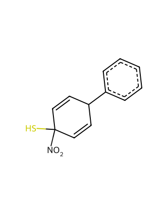 O=[N+]([O-])C1(S)C=CC(c2ccccc2)C=C1